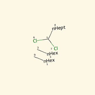 CCCCCCC.CCCCCCC.CCCCCCCC(Cl)Cl